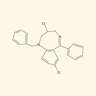 Clc1ccc2c(c1)/C(c1ccccc1)=N\CC(Cl)CN2Cc1ccccc1